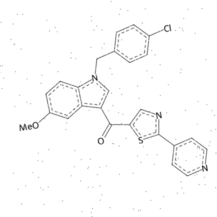 COc1ccc2c(c1)c(C(=O)c1cnc(-c3ccncc3)s1)cn2Cc1ccc(Cl)cc1